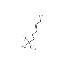 OC(CCC=CCS)(C(F)(F)F)C(F)(F)F